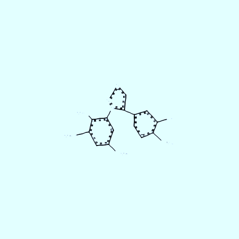 COc1cc(OC)c(OC)c(-n2nncc2-c2ccc(OC)c(O)c2)c1